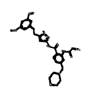 C=CC(=O)Nc1cc(CN2CCOCC2)ccc1C(=O)Nc1cc(CCc2cc(OC)cc(OC)c2)[nH]n1